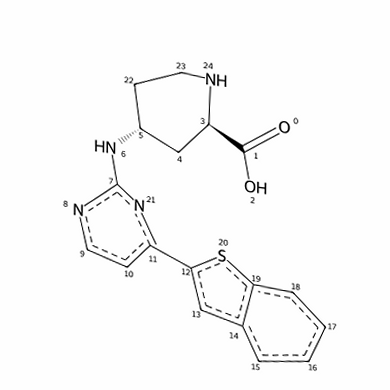 O=C(O)[C@H]1C[C@H](Nc2nccc(-c3cc4ccccc4s3)n2)CCN1